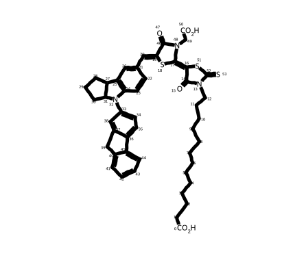 O=C(O)CCCCCCCCCCCCN1C(=O)/C(=c2\s/c(=C\c3ccc4c(c3)C3CCCC3N4c3ccc4c(c3)Cc3ccccc3-4)c(=O)n2CC(=O)O)SC1=S